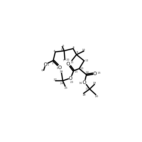 COC(=O)CC(C)(C)CC(C)(C)CC(C(=O)OC(C)(C)C)C(=O)OC(C)(C)C